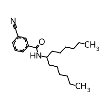 CCCCCCC(CCCCCC)NC(=O)c1cccc(C#N)c1